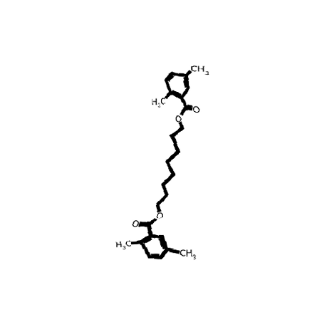 Cc1ccc(C)c(C(=O)OCCCCCCCCOC(=O)c2cc(C)ccc2C)c1